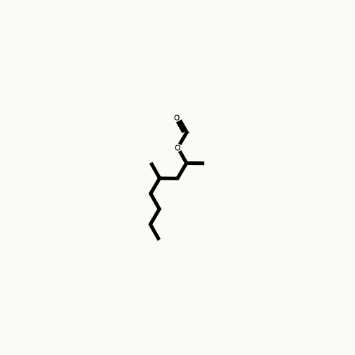 CCCCC(C)CC(C)O[C]=O